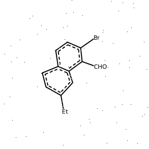 CCc1ccc2ccc(Br)c(C=O)c2c1